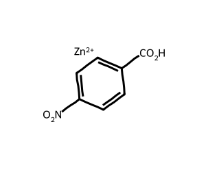 O=C(O)c1ccc([N+](=O)[O-])cc1.[Zn+2]